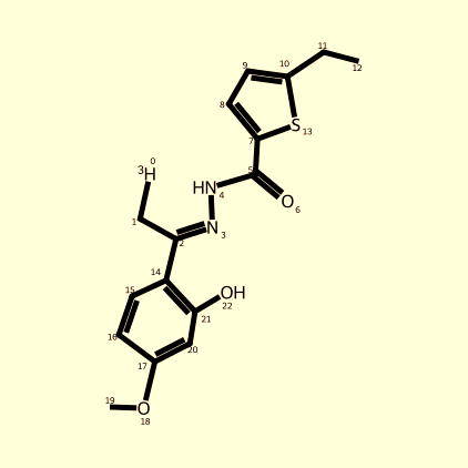 [3H]C/C(=N\NC(=O)c1ccc(CC)s1)c1ccc(OC)cc1O